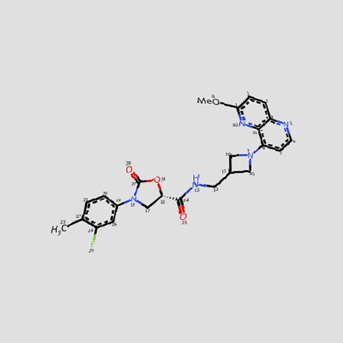 COc1ccc2nccc(N3CC(CNC(=O)[C@@H]4CN(c5ccc(C)c(F)c5)C(=O)O4)C3)c2n1